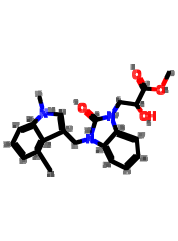 COC(=O)C(O)Cn1c(=O)n(Cc2cn(C)c3cccc(C)c23)c2ccccc21